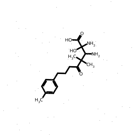 Cc1ccc(CCCC(=O)C(C)(C)C(N)C(N)(O)C(=O)O)cc1